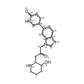 O=C(CC1NCCCC1O)Cn1cnc2ccc(-c3ccc(=O)[nH]c3)cc21